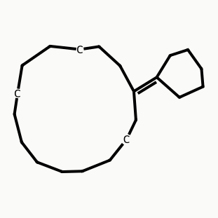 C1CCCCCCCC(=C2CCCCC2)CCCCCC1